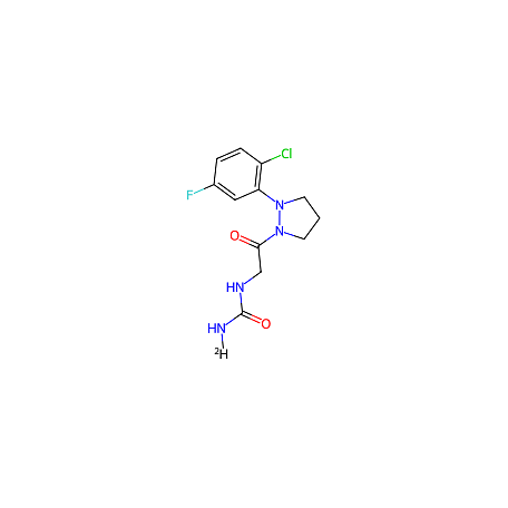 [2H]NC(=O)NCC(=O)N1CCCN1c1cc(F)ccc1Cl